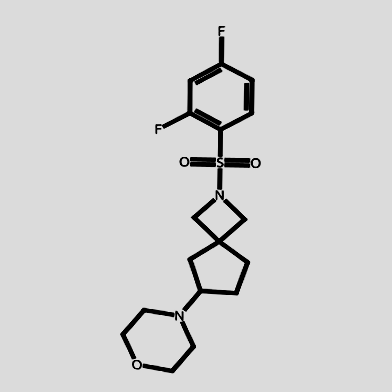 O=S(=O)(c1ccc(F)cc1F)N1CC2(CCC(N3CCOCC3)C2)C1